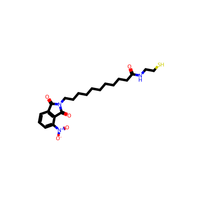 O=C(CCCCCCCCCCN1C(=O)c2cccc([N+](=O)[O-])c2C1=O)NCCS